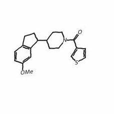 COc1ccc2c(c1)C(C1CCN(C(=O)c3ccsc3)CC1)CC2